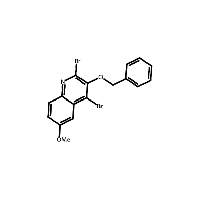 COc1ccc2nc(Br)c(OCc3ccccc3)c(Br)c2c1